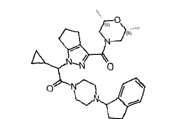 C[C@@H]1CN(C(=O)c2nn(C(C(=O)N3CCN(C4CCc5ccccc54)CC3)C3CC3)c3c2CCC3)C[C@H](C)O1